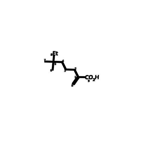 C=C(CCCC(C)(C)CC)C(=O)O